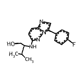 CC(C)C(CO)Nc1ccc2ncc(-c3ccc(F)cc3)n2n1